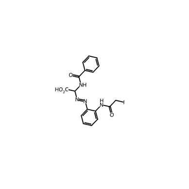 O=C(CI)Nc1ccccc1N=NC(NC(=O)c1ccccc1)C(=O)O